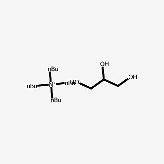 CCCC[N+](CCCC)(CCCC)CCCC.OCC(O)CO